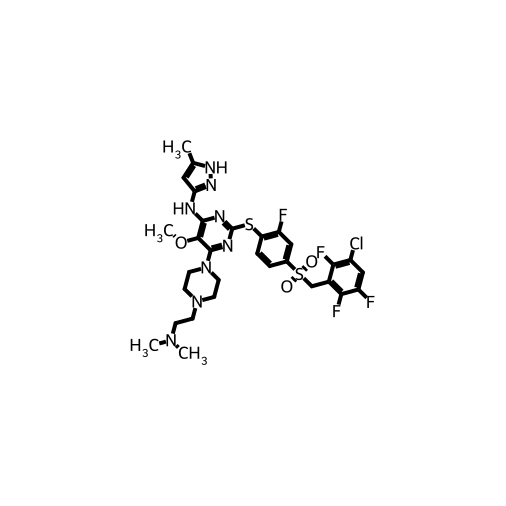 COc1c(Nc2cc(C)[nH]n2)nc(Sc2ccc(S(=O)(=O)Cc3c(F)c(F)cc(Cl)c3F)cc2F)nc1N1CCN(CCN(C)C)CC1